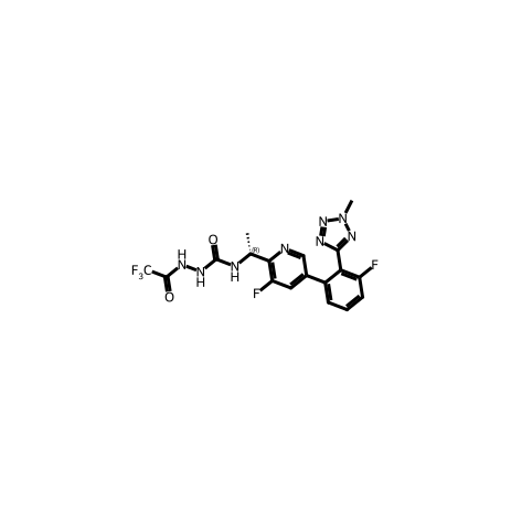 C[C@@H](NC(=O)NNC(=O)C(F)(F)F)c1ncc(-c2cccc(F)c2-c2nnn(C)n2)cc1F